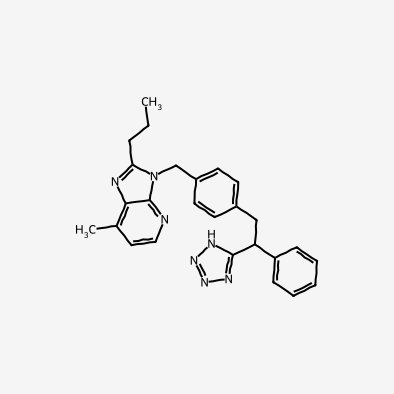 CCCc1nc2c(C)ccnc2n1Cc1ccc(CC(c2ccccc2)c2nnn[nH]2)cc1